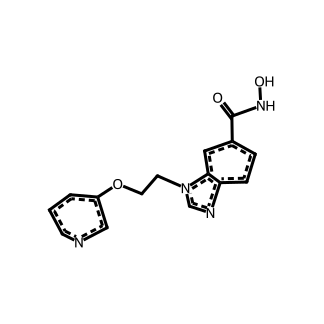 O=C(NO)c1ccc2ncn(CCOc3cccnc3)c2c1